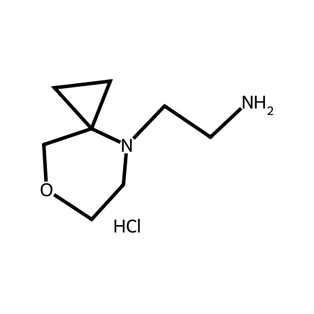 Cl.NCCN1CCOCC12CC2